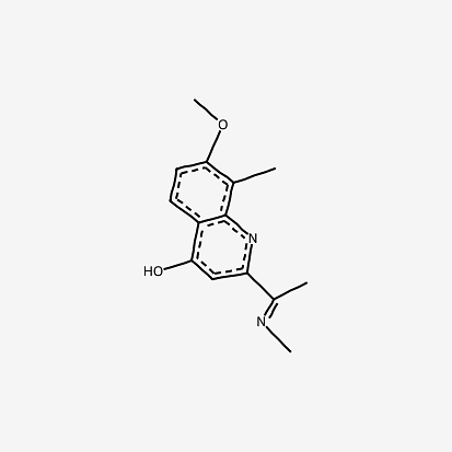 C/N=C(\C)c1cc(O)c2ccc(OC)c(C)c2n1